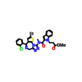 CCc1cc2c(s1)-n1c(nnc1N(C)C(=O)c1cc3ccccc3n1CCC(=O)OC)CN=C2c1ccccc1Cl